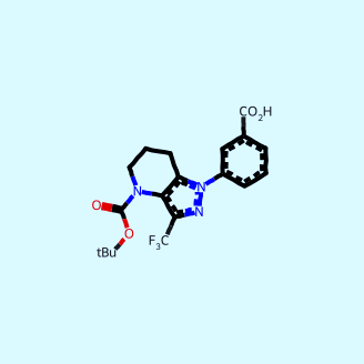 CC(C)(C)OC(=O)N1CCCc2c1c(C(F)(F)F)nn2-c1cccc(C(=O)O)c1